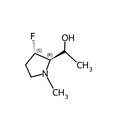 CC(O)[C@@H]1[C@@H](F)CCN1C